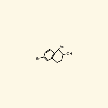 CC(=O)C1c2ccc(Br)cc2CCC1O